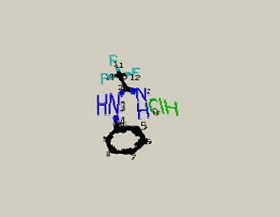 Cl.N=C(Nc1ccccc1)C(F)(F)F